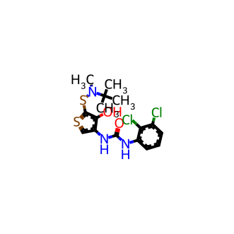 CN(Sc1scc(NC(=O)Nc2cccc(Cl)c2Cl)c1O)C(C)(C)C